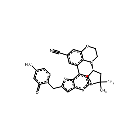 Cc1cnn(Cc2cc3nccc(-c4cc(C#N)cc5c4N([C@@H]4CNC(C)(C)C4)CCO5)c3s2)c(=O)c1